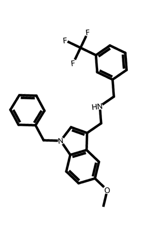 COc1ccc2c(c1)c(CNCc1cccc(C(F)(F)F)c1)cn2Cc1ccccc1